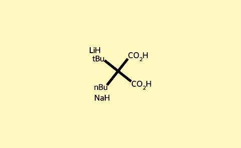 CCCCC(C(=O)O)(C(=O)O)C(C)(C)C.[LiH].[NaH]